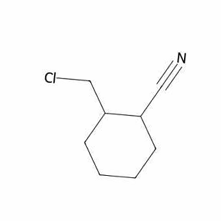 N#CC1CCCCC1CCl